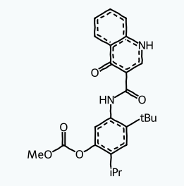 COC(=O)Oc1cc(NC(=O)c2c[nH]c3ccccc3c2=O)c(C(C)(C)C)cc1C(C)C